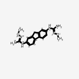 CON=C(N)Nc1ccc2c(c1)Cc1cc(NC(N)=NOC)ccc1-2